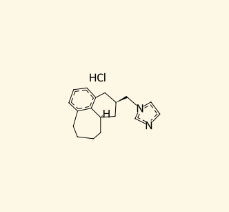 Cl.c1cc2c3c(c1)C[C@@H](Cn1ccnc1)C[C@H]3CCCC2